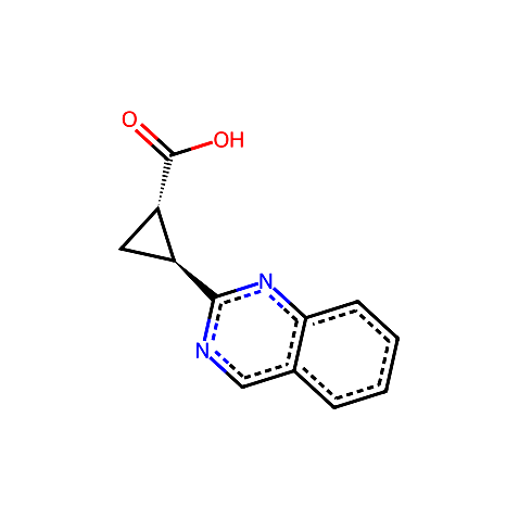 O=C(O)[C@H]1C[C@@H]1c1ncc2ccccc2n1